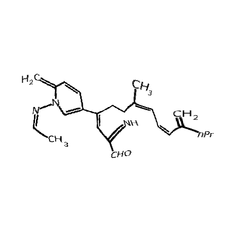 C=C(/C=C\C=C(\C)CC/C(=C\C(=N)C=O)C1=CN(/N=C\C)C(=C)C=C1)CCC